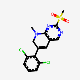 CN1CC(c2c(Cl)cccc2Cl)=Cc2cnc(S(C)(=O)=O)nc21